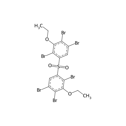 CCOc1c(Br)c(Br)cc(S(=O)(=O)c2cc(Br)c(Br)c(OCC)c2Br)c1Br